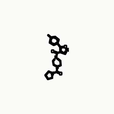 Cc1ccc(-c2oncc2C(=O)N2CCN(C(=O)N3CCCC3)CC2)cc1